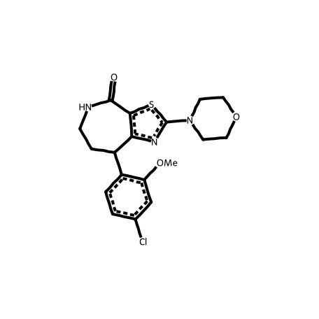 COc1cc(Cl)ccc1C1CCNC(=O)c2sc(N3CCOCC3)nc21